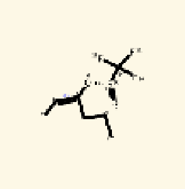 C/C=C(\CCC)O[S@@](=O)C(F)(F)F